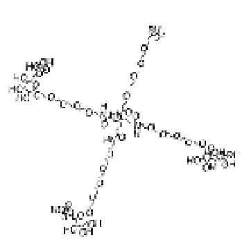 BC(=O)CCOCCOCCOCCCOCCC(=O)NC(CCC(=O)NCCOCCOCCOCCOCCOC1OC(COP(=O)(O)O)C(O)C(O)C1O)(CCC(=O)NCCOCCOCCOCCOCCOC1OC(COP(=O)(O)O)C(O)C(O)C1O)CCC(=O)NCCOCCOCCOCCOCCOC1O[C@]2(O)C(COP(O)O)C(O)C(O)C12